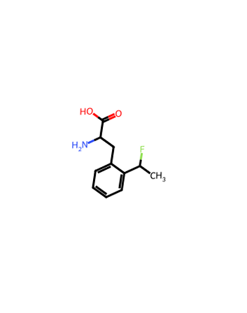 CC(F)c1ccccc1CC(N)C(=O)O